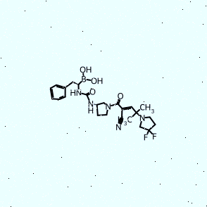 CC(C)(/C=C(\C#N)C(=O)N1CC[C@H](NC(=O)N[C@@H](Cc2ccccc2)B(O)O)C1)N1CCC(F)(F)C1